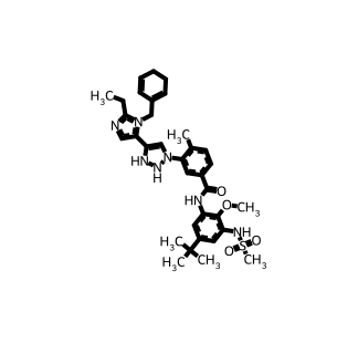 CCc1ncc(C2=CN(c3cc(C(=O)Nc4cc(C(C)(C)C)cc(NS(C)(=O)=O)c4OC)ccc3C)NN2)n1CC1=CCCC=C1